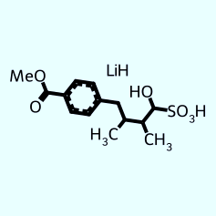 COC(=O)c1ccc(CC(C)C(C)C(O)S(=O)(=O)O)cc1.[LiH]